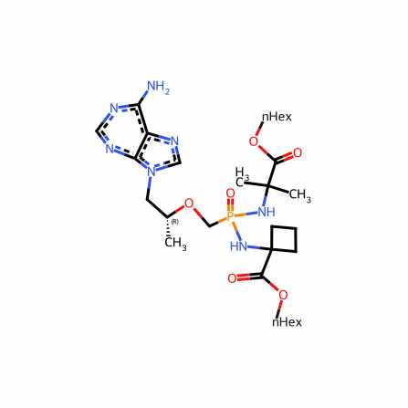 CCCCCCOC(=O)C(C)(C)NP(=O)(CO[C@H](C)Cn1cnc2c(N)ncnc21)NC1(C(=O)OCCCCCC)CCC1